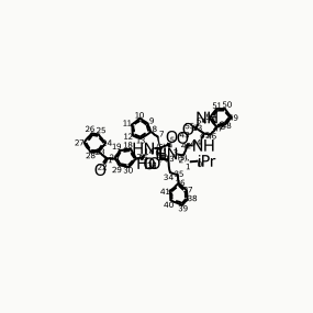 CC(C)C[C@H](NC(=O)[C@@](Cc1ccccc1)(NC(=O)c1ccc(C(=O)c2ccccc2)cc1)[C@H](O)CCCc1ccccc1)C(=O)NC(Cc1ccccc1)C(N)=O